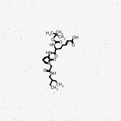 CCC(CC)CNC(=O)Cn1cccc(NC(=O)C(CC/C=C/C(=O)O)NC(=O)OC(C)(C)C)c1=O